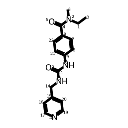 CCN(C)C(=O)c1ccc(NC(=O)NCc2ccncc2)cc1